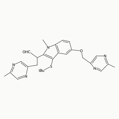 Cc1cnc(COc2ccc3c(c2)c(SC(C)(C)C)c(C(C=O)Cc2cnc(C)cn2)n3C)cn1